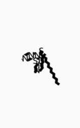 CCCCCCCCCCCC1(C)C(=S)N(CN2CCN(C)CC2)C(=S)N1CN1CCN(C)CC1